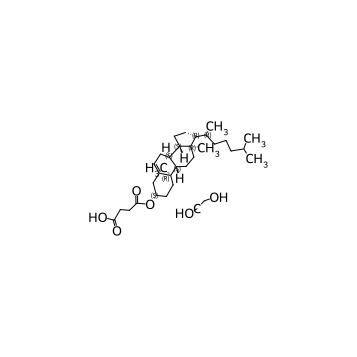 CC(C)CCC[C@@H](C)[C@H]1CC[C@H]2[C@@H]3CC=C4C[C@@H](OC(=O)CCC(=O)O)CC[C@]4(C)[C@H]3CC[C@]12C.OCCO